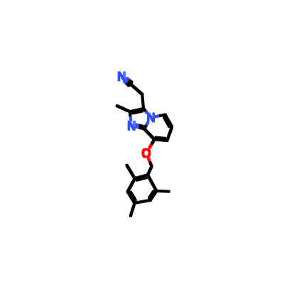 Cc1cc(C)c(COc2cccn3c(CC#N)c(C)nc23)c(C)c1